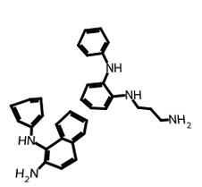 NCCCNc1ccccc1Nc1ccccc1.Nc1ccc2ccccc2c1Nc1ccccc1